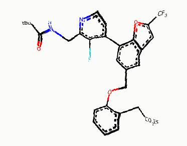 CCOC(=O)Cc1ccccc1OCc1cc(-c2ccnc(CNC(=O)C(C)(C)C)c2F)c2oc(C(F)(F)F)cc2c1